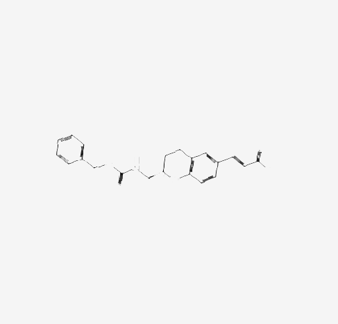 O=C(O)C=Cc1ccc2c(c1)CC[C@H](CNC(=O)OCc1ccccc1)O2